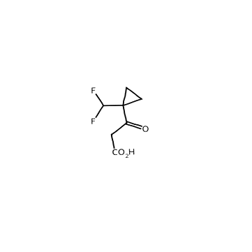 O=C(O)CC(=O)C1(C(F)F)CC1